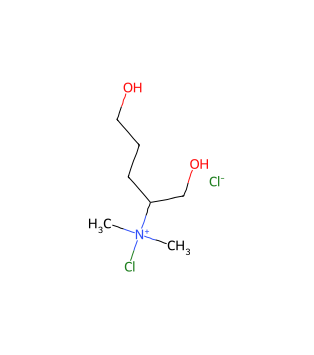 C[N+](C)(Cl)C(CO)CCCO.[Cl-]